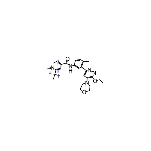 C=N/C(=C\C(=C/C)C(=O)Nc1ccc(C)c(-c2cc(N3CCOCC3)c(OCC)nn2)c1)C(C)(F)F